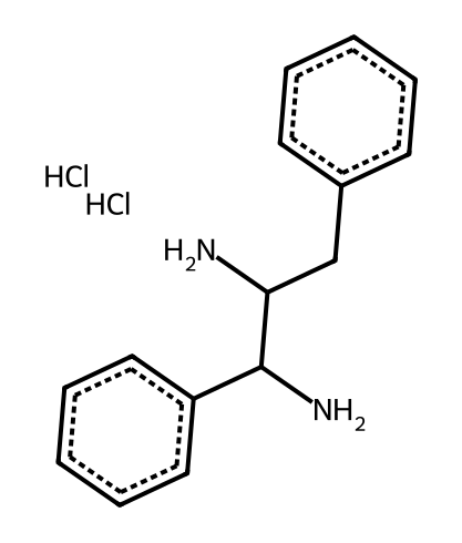 Cl.Cl.NC(Cc1ccccc1)C(N)c1ccccc1